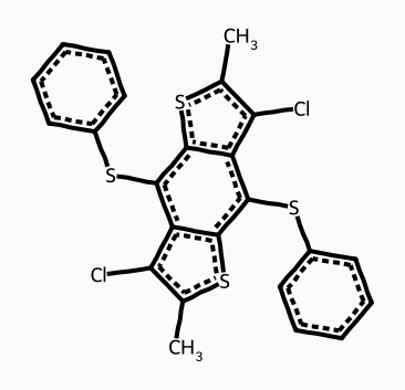 Cc1sc2c(Sc3ccccc3)c3c(Cl)c(C)sc3c(Sc3ccccc3)c2c1Cl